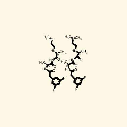 COCCN[C@@H](C)C(=O)NC(=O)[C@H](C)NC(=O)Cc1cc(F)cc(F)c1.C[C@H](NCCN(C)C)C(=O)NC(=O)[C@H](C)NC(=O)Cc1cc(F)cc(F)c1